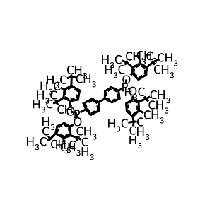 Cc1c(C(C)(C)C)ccc(OP(Oc2ccc(C(C)(C)C)c(C)c2C(C)(C)C)c2ccc(-c3ccc(P(Oc4ccc(C(C)(C)C)c(C)c4C(C)(C)C)Oc4ccc(C(C)(C)C)c(C)c4C(C)(C)C)cc3)cc2)c1C(C)(C)C